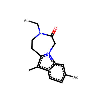 CC(=O)CN1CCc2c(C)c3ccc(C(C)=O)cc3n2CC1=O